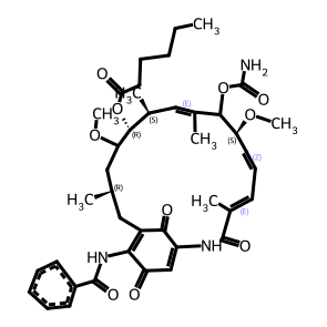 CCCCCC(=O)O[C@H]1C(OC)C[C@H](C)CC2=C(NC(=O)c3ccccc3)C(=O)C=C(NC(=O)/C(C)=C/C=C\[C@H](OC)C(OC(N)=O)/C(C)=C/[C@@H]1C)C2=O